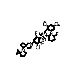 COc1ccc(CN(c2cccc(F)n2)S(=O)(=O)c2c(F)cc(N3CC[C@@]4(CCC4N4CCCC45CC5)C3)c(Cl)c2F)c(OC)c1